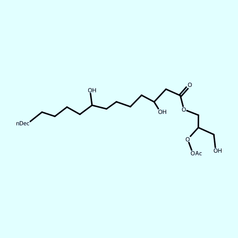 CCCCCCCCCCCCCCC(O)CCCCC(O)CC(=O)OCC(CO)OOC(C)=O